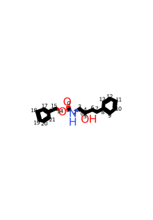 O=C(N[CH][C@H](O)CCc1ccccc1)OCc1ccccc1